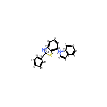 [c]1cccc2ccn(-c3cccc4nc(-c5ccccc5)sc34)c12